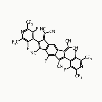 N#CC(C#N)=C1C(c2c(F)c(C(F)(F)F)nc(C(F)(F)F)c2F)=C(C#N)c2c1cc1c(c2F)C(C#N)=C(c2c(F)c(C(F)(F)F)nc(C(F)(F)F)c2F)C1=C(C#N)C#N